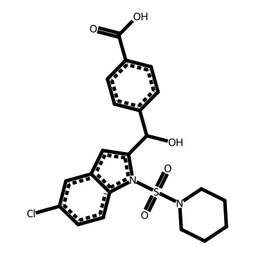 O=C(O)c1ccc(C(O)c2cc3cc(Cl)ccc3n2S(=O)(=O)N2CCCCC2)cc1